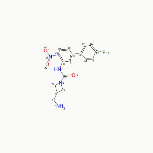 NCC1CN(C(=O)Nc2cc(-c3ccc(F)cc3)ccc2[N+](=O)[O-])C1